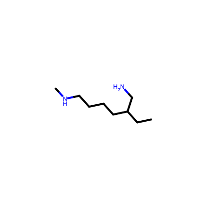 CCC(CN)CCCCNC